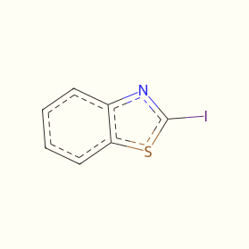 Ic1nc2ccccc2s1